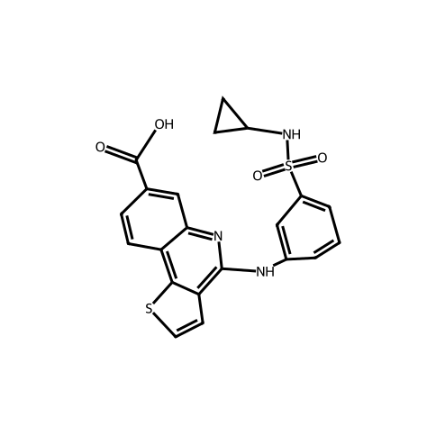 O=C(O)c1ccc2c(c1)nc(Nc1cccc(S(=O)(=O)NC3CC3)c1)c1ccsc12